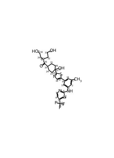 Cc1cc(Nc2nccc(C(F)(F)F)n2)cc(-c2cnc(C3(O)CCC(C(=O)N(CCO)CCO)CC3)s2)c1